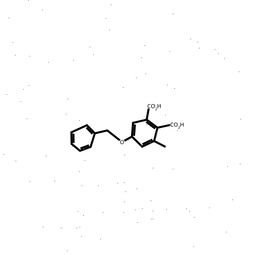 Cc1cc(OCc2ccccc2)cc(C(=O)O)c1C(=O)O